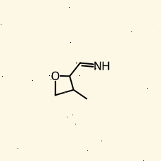 CC1COC1[C]=N